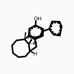 C[C@@]12CCCCC[C@@H](Cc3ccc(O)cc31)[C@@H]2NCCc1ccccc1